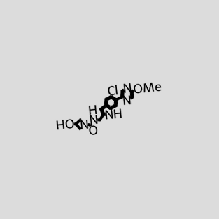 COc1cnc(-c2cc3[nH]c(CNC(=O)N4CC(O)C4)cc3cc2Cl)cn1